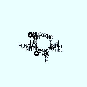 CCCC[C@H](NCC)C(=O)N[C@H]1CCC(=O)NCCC[C@@H](C(=O)O)NC(=O)[C@H](Cc2c[nH]c3ccccc23)NC(O)[C@H](CCCNC(=N)N)NC(=O)[C@@H](Cc2ccccc2)NC(=O)[C@H](Cc2c[nH]cn2)NC1=O